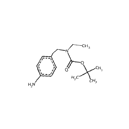 CCN(Cc1ccc(N)cc1)C(=O)OC(C)(C)C